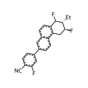 CC[C@H]1C(F)c2ccc3cc(-c4ccc(C#N)c(F)c4)ccc3c2C[C@@H]1F